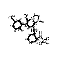 CN1CCn2c1c(Nc1ccncc1NS(C)(=O)=O)cc(-c1cc(Cl)ccc1F)c2=O